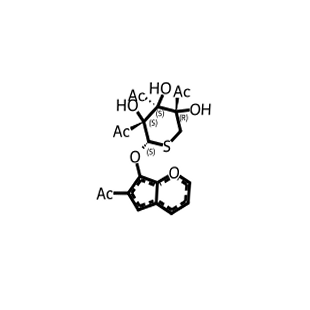 CC(=O)c1cc2cccoc-2c1O[C@H]1SC[C@](O)(C(C)=O)[C@@](O)(C(C)=O)[C@]1(O)C(C)=O